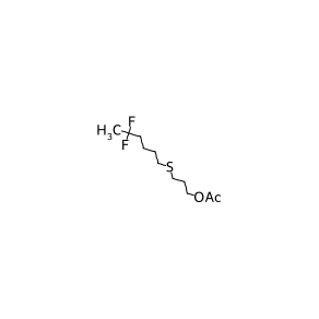 CC(=O)OCCCSCCCCC(C)(F)F